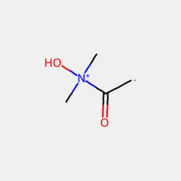 [CH2]C(=O)[N+](C)(C)O